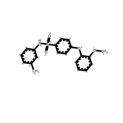 COc1ccccc1Oc1ccc(S(=O)(=O)Nc2cccc(C)c2)cc1